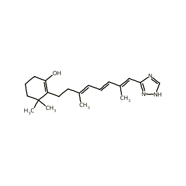 CC(/C=C/C=C(\C)CCC1=C(O)CCCC1(C)C)=C\c1nc[nH]n1